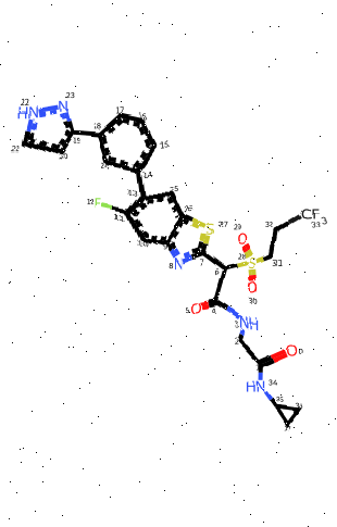 O=C(CNC(=O)C(c1nc2cc(F)c(-c3cccc(-c4cc[nH]n4)c3)cc2s1)S(=O)(=O)CCC(F)(F)F)NC1CC1